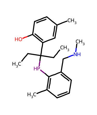 CCC(CC)(Pc1c(C)cccc1CNC)c1cc(C)ccc1O